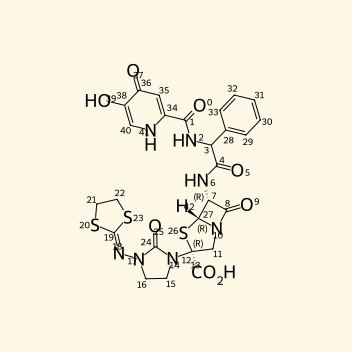 O=C(NC(C(=O)N[C@@H]1C(=O)N2C[C@@](C(=O)O)(N3CCN(N=C4SCCS4)C3=O)S[C@H]12)c1ccccc1)c1cc(=O)c(O)c[nH]1